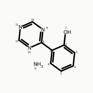 N.Oc1ccccc1-c1ncncn1